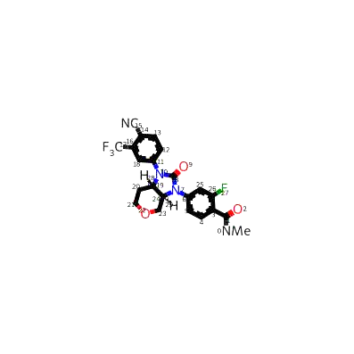 CNC(=O)c1ccc(N2C(=O)N(c3ccc(C#N)c(C(F)(F)F)c3)[C@H]3CCOC[C@@H]32)cc1F